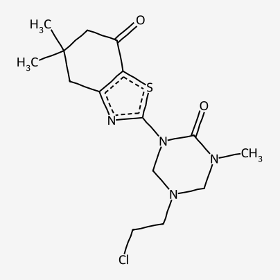 CN1CN(CCCl)CN(c2nc3c(s2)C(=O)CC(C)(C)C3)C1=O